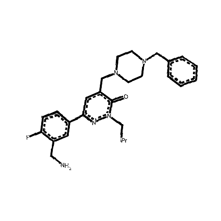 CC(C)Cn1nc(-c2ccc(F)c(CN)c2)cc(CN2CCN(Cc3ccccc3)CC2)c1=O